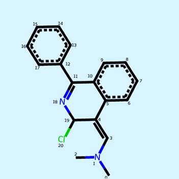 CN(C)C=C1c2ccccc2C(c2ccccc2)=NC1Cl